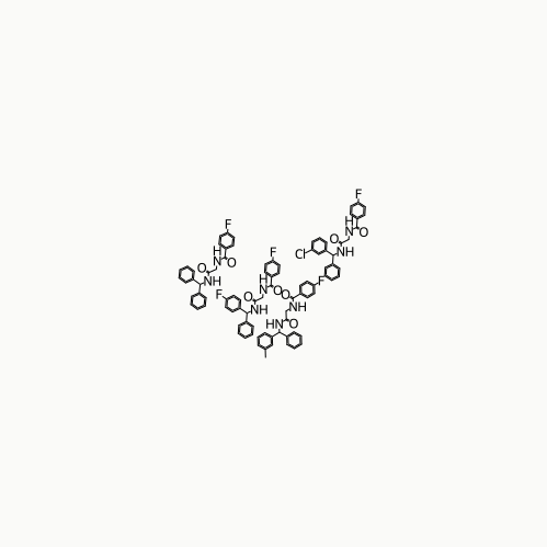 Cc1cccc(C(NC(=O)CNC(=O)c2ccc(F)cc2)c2ccccc2)c1.O=C(CNC(=O)c1ccc(F)cc1)NC(c1ccccc1)c1ccc(F)cc1.O=C(CNC(=O)c1ccc(F)cc1)NC(c1ccccc1)c1cccc(Cl)c1.O=C(CNC(=O)c1ccc(F)cc1)NC(c1ccccc1)c1ccccc1